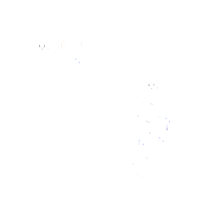 CCP(=O)(CN1CCC(CCCOc2cc3c(Nc4cccc(Br)c4)ncnc3cc2OC)CC1)OC